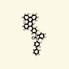 O=c1n(-c2ccc(-c3ccccc3)cc2)c2ccccc2n1-c1ccc(-c2cc3c4ccccc4c4ccccc4c3c3ccccc23)cc1